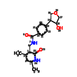 Cc1cc(C)c(CNC(=O)c2ccc(C3COCC3O)cc2)c(=O)[nH]1